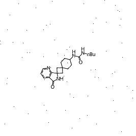 CCCCNC(=O)NC1CCC2(CC1)CC1(C2)NC(=O)c2cccnc21